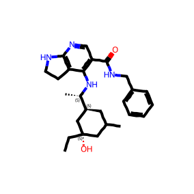 CC[C@]1(O)CC(C)C[C@H]([C@H](C)Nc2c(C(=O)NCc3ccccc3)cnc3c2CCN3)C1